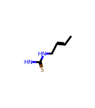 CC=CCNC([NH])=S